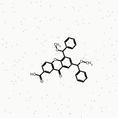 COC(c1ccccc1)c1cc(C(OC)c2ccccc2)c2oc3ccc(C(=O)O)cc3c(=O)c2c1